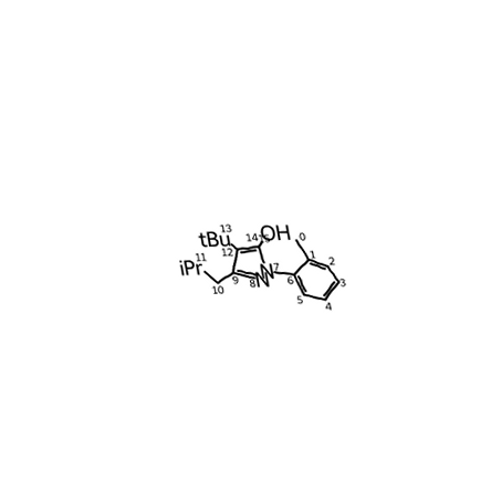 Cc1ccccc1-n1nc(CC(C)C)c(C(C)(C)C)c1O